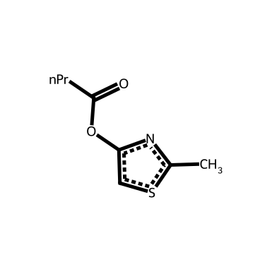 CCCC(=O)Oc1csc(C)n1